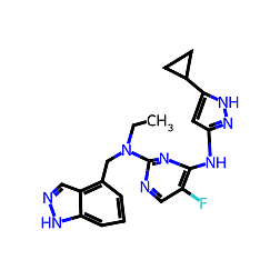 CCN(Cc1cccc2[nH]ncc12)c1ncc(F)c(Nc2cc(C3CC3)[nH]n2)n1